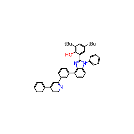 CC(C)(C)c1cc(-c2nc3c(-c4cccc(-c5cc(-c6ccccc6)ccn5)c4)cccc3n2-c2ccccc2)c(O)c(C(C)(C)C)c1